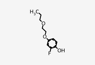 CCCOCCOc1ccc(O)c(F)c1